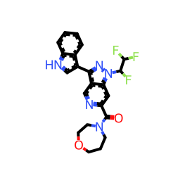 O=C(c1cc2c(cn1)c(-c1c[nH]c3ccccc13)nn2C(F)C(F)F)N1CCCOCC1